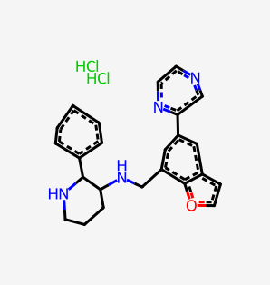 Cl.Cl.c1ccc(C2NCCCC2NCc2cc(-c3cnccn3)cc3ccoc23)cc1